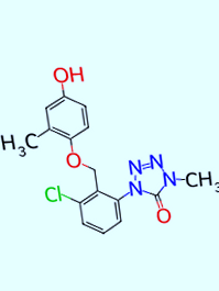 Cc1cc(O)ccc1OCc1c(Cl)cccc1-n1nnn(C)c1=O